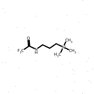 C[N+](C)(C)CCCNC(=O)C(F)(F)F